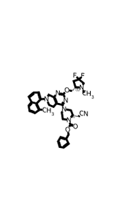 Cc1cccc2cccc(N3CCc4c(nc(OC[C@@H]5CC(F)(F)CN5C)nc4N4CCN(C(=O)OCc5ccccc5)[C@@H](CC#N)C4)C3)c12